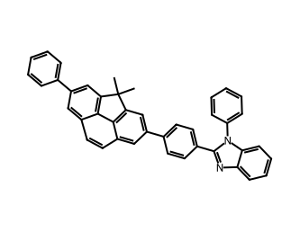 CC1(C)c2cc(-c3ccccc3)cc3ccc4cc(-c5ccc(-c6nc7ccccc7n6-c6ccccc6)cc5)cc1c4c23